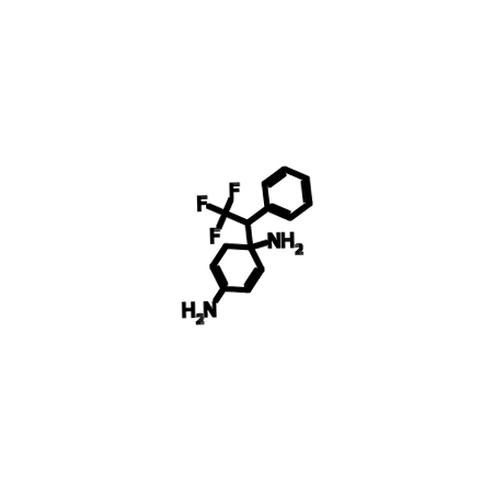 NC1=CCC(N)(C(c2ccccc2)C(F)(F)F)C=C1